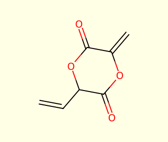 C=CC1OC(=O)C(=C)OC1=O